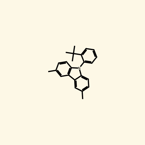 Cc1ccc2c(c1)c1cc(C)ccc1n2-c1ccccc1C(C)(C)C